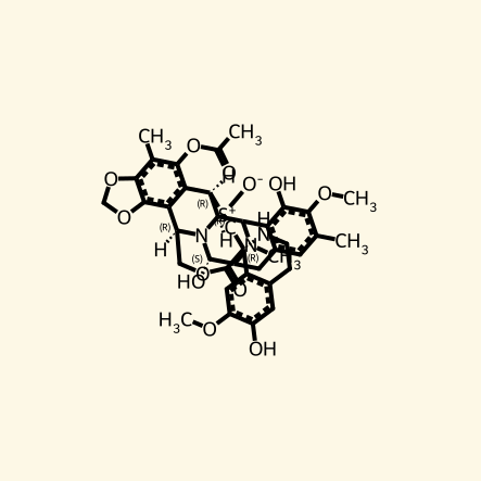 COc1cc2c(cc1O)CCN[C@]21C[S+]([O-])[C@@H]2c3c(OC(C)=O)c(C)c4c(c3[C@H](COC1=O)N1[C@@H]2C2c3c(cc(C)c(OC)c3O)CC([C@@H]1O)N2C)OCO4